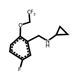 Fc1ccc(OCC(F)(F)F)c(CNC2CC2)c1